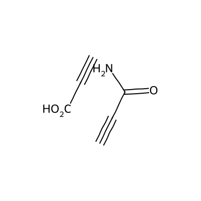 C#CC(=O)O.C#CC(N)=O